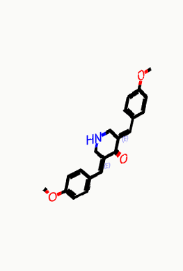 COc1ccc(/C=C2\CNC/C(=C\c3ccc(OC)cc3)C2=O)cc1